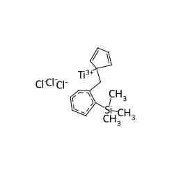 C[Si](C)(C)c1ccccc1C[C]1([Ti+3])C=CC=C1.[Cl-].[Cl-].[Cl-]